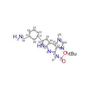 CN(C(=O)OC(C)(C)C)c1nc2[nH]c(-c3cccc(CN)c3)cc2c2c1ncn2C